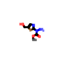 CC(C)(C)OC(=O)N(N)c1ncc(CO)s1